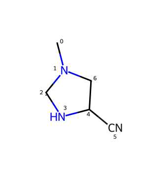 CN1[CH]NC(C#N)C1